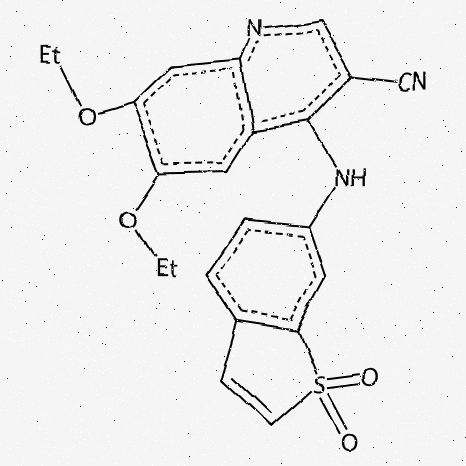 CCOc1cc2ncc(C#N)c(Nc3ccc4c(c3)S(=O)(=O)C=C4)c2cc1OCC